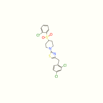 O=S(=O)(c1ccccc1Cl)C1CCN(c2nc(Cc3ccc(Cl)cc3Cl)cs2)CC1